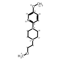 COCCN1CCN(c2ccc(OC)cn2)CC1